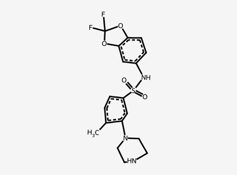 Cc1ccc(S(=O)(=O)Nc2ccc3c(c2)OC(F)(F)O3)cc1N1CCNCC1